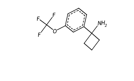 NC1(c2cccc(OC(F)(F)F)c2)CCC1